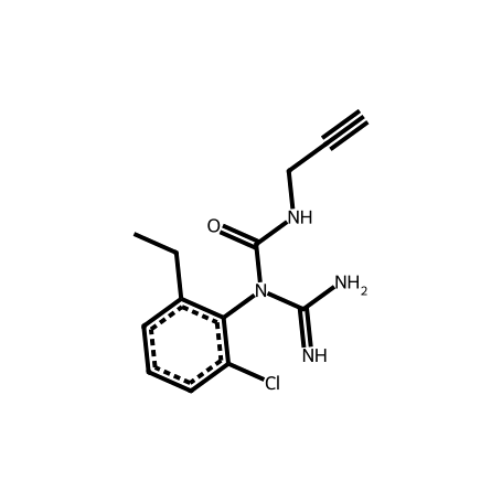 C#CCNC(=O)N(C(=N)N)c1c(Cl)cccc1CC